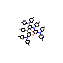 Cc1ccc(N(c2ccc(C)cc2)c2cc3c4c(c2)N(c2ccc(C)cc2)c2cc(N(c5ccc(C)cc5)c5ccc(C)cc5)cc5c2P4(=S)c2c(cc(N(c4ccc(C)cc4)c4ccc(C)cc4)cc2N5c2ccc(C)cc2)O3)cc1